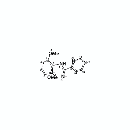 COc1cccc(OC)c1NC(=N)c1ccncn1